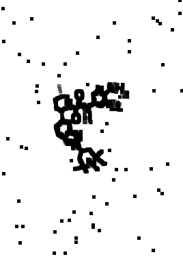 CCc1cc(NC(=O)C(=O)N2C[C@@H](C)CC[C@@H]2c2ccc3cn(C4CC(C)(C)N(C)C(C)(C)C4)nc3c2)cnc1N